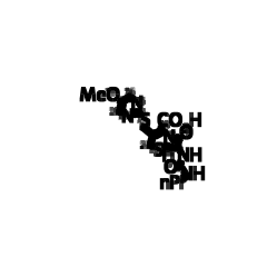 CCCNC(=O)NC1C(=O)N2C(C(=O)O)=C(CSc3ncc(OC)cn3)CS[C@@H]12